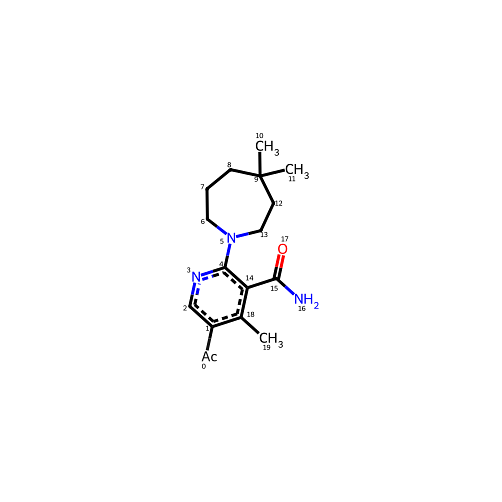 CC(=O)c1cnc(N2CCCC(C)(C)CC2)c(C(N)=O)c1C